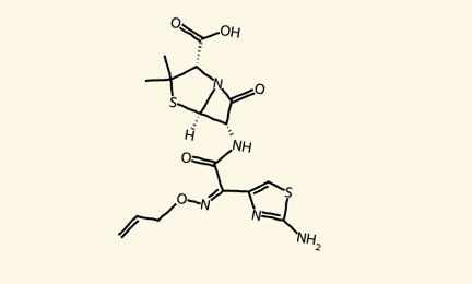 C=CCO/N=C(\C(=O)N[C@H]1C(=O)N2[C@@H]1SC(C)(C)[C@@H]2C(=O)O)c1csc(N)n1